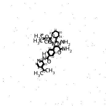 CC(C)c1ccnc(NC(=O)c2ccc(-c3nc(C4CCCCN4C(=O)OC(C)(C)C)n(N)c3C(N)=O)cc2)c1